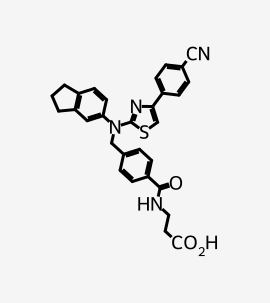 N#Cc1ccc(-c2csc(N(Cc3ccc(C(=O)NCCC(=O)O)cc3)c3ccc4c(c3)CCC4)n2)cc1